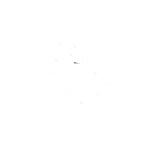 Cc1nc(C(F)(F)F)cc(C(=O)N2CC[C@@H](C)[C@H](c3cc(C(F)F)nc4ncnn34)C2)c1F